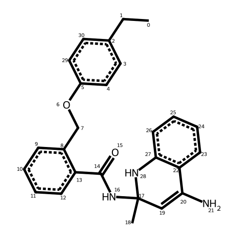 CCc1ccc(OCc2ccccc2C(=O)NC2(C)C=C(N)c3ccccc3N2)cc1